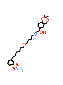 CC1(C)OCc2cc([C@@H](O)CNCCCCOCCCCCCc3cccc(S(N)(=O)=O)c3)ccc2O1